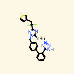 CCCCc1nc(C(F)(F)Cc2ccsc2)nn1Cc1ccc(-c2ccccc2-c2nnn[nH]2)cc1